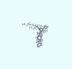 CCCCCC(C)(C)c1cc(-c2ccccc2)c(O)c(-n2nc3ccc(S(=O)(=O)c4ccccc4)cc3n2)c1